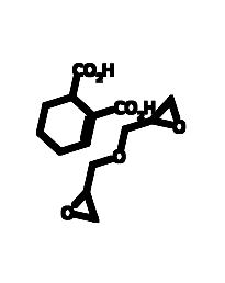 C(OCC1CO1)C1CO1.O=C(O)C1=CCCCC1C(=O)O